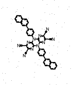 N#Cc1nc2c(nc1C#N)N(c1ccc(-c3ccc4ccccc4c3)cc1)c1nc(C#N)c(C#N)nc1N2c1ccc(-c2ccc3ccccc3c2)cc1